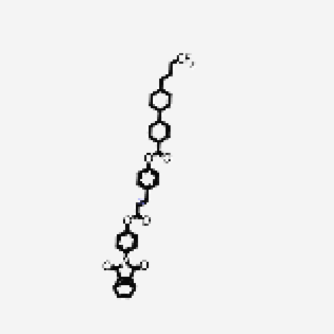 O=C(/C=C/c1ccc(OC(=O)C2CCC(C3CCC(CCCC(F)(F)F)CC3)CC2)cc1)Oc1ccc(N2C(=O)C3C4C=CC(CC4)C3C2=O)cc1